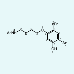 CCCc1cc(C(C)=O)c(O)cc1OCCCCNC(C)=O